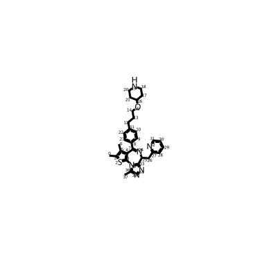 Cc1sc2c(c1C)C(c1ccc(CCCOC3CCNCC3)cc1)=NC(Cc1ccccn1)c1nnc(C)n1-2